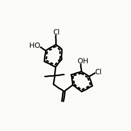 C=C(CC(C)(C)c1ccc(Cl)c(O)c1)c1ccc(Cl)c(O)c1